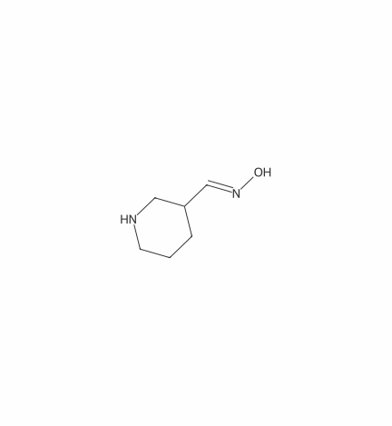 ON=CC1CCCNC1